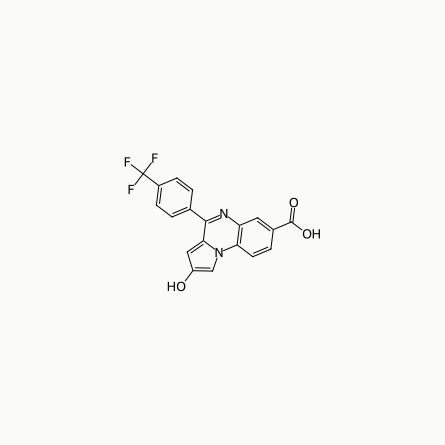 O=C(O)c1ccc2c(c1)nc(-c1ccc(C(F)(F)F)cc1)c1cc(O)cn12